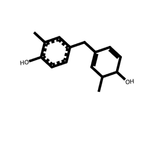 Cc1cc(CC2=CC(C)C(O)C=C2)ccc1O